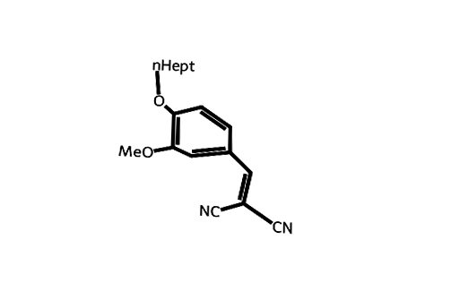 CCCCCCCOc1ccc(C=C(C#N)C#N)cc1OC